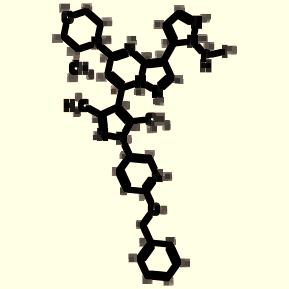 Cc1nn(-c2ccc(OCc3ccccc3)nc2)c(C)c1-c1cc(N2CCOC[C@H]2C)nc2c(-c3ccnn3PI)cnn12